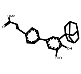 COC(=O)C=Cc1ccc(-c2cc(C=O)c(O)c(C34CC5CC(CC(C5)C3)C4)c2)cc1